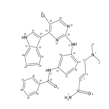 CN(C)C/C=C/C(N)=O.O=C(Nc1cccc(Nc2ncc(Cl)c(-c3c[nH]c4ccccc34)n2)c1)c1ccccc1